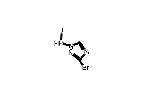 Brc1ncn(PI)n1